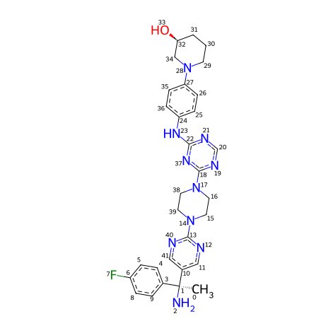 C[C@](N)(c1ccc(F)cc1)c1cnc(N2CCN(c3ncnc(Nc4ccc(N5CCC[C@H](O)C5)cc4)n3)CC2)nc1